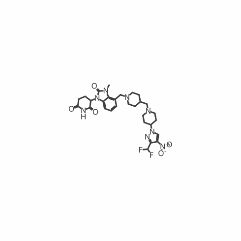 Cn1c(=O)n(C2CCC(=O)NC2=O)c2cccc(CN3CCC(CN4CCC(n5cc([N+](=O)[O-])c(C(F)F)n5)CC4)CC3)c21